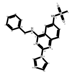 CS(=O)(=O)Nc1ccc2nc(-n3ccnc3)nc(NCc3ccccc3)c2c1